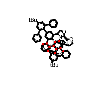 CC1C2N3C4=C5OCC(c6cc(-c7c(-c8ccccc8)cc(C(C)(C)C)cc7-c7ccccc7)cc7c6P26=C2N8C(=C9OCC(c%10cc(-c%11c(-c%12ccccc%12)cc(C(C)(C)C)cc%11-c%11ccccc%11)cc(c%106)C3CO4)N92)OCC78)N51